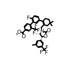 COC(=O)c1ccc(-c2cc(C3=C(CN4C(=O)O[C@H](c5cc(C)cc(C(F)(F)F)c5)[C@@H]4C)CC(C)(C)CC3)ccc2F)c(C(F)(F)F)c1